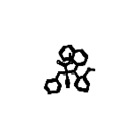 COC(=O)[C@@](C#N)(Cc1ccncc1)[C@H](c1ccccc1OC)c1cccc2ccccc12